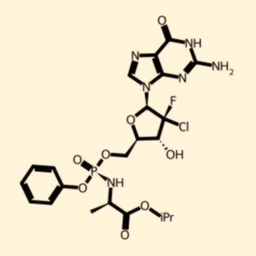 CC(C)OC(=O)[C@@H](C)N[P@@](=O)(OC[C@H]1O[C@@H](n2cnc3c(=O)[nH]c(N)nc32)[C@](F)(Cl)[C@@H]1O)Oc1ccccc1